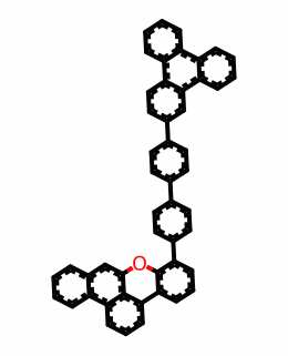 c1cc(-c2ccc(-c3ccc(-c4ccc5c6ccccc6c6ccccc6c5c4)cc3)cc2)c2c(c1)-c1cccc3c1c(cc1ccccc13)O2